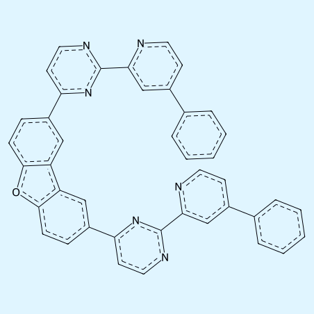 c1ccc(-c2ccnc(-c3nccc(-c4ccc5oc6ccc(-c7ccnc(-c8cc(-c9ccccc9)ccn8)n7)cc6c5c4)n3)c2)cc1